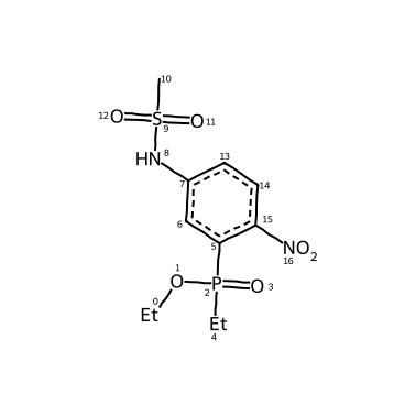 CCOP(=O)(CC)c1cc(NS(C)(=O)=O)ccc1[N+](=O)[O-]